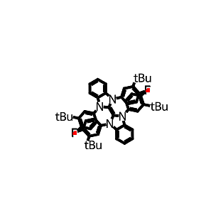 CC(C)(C)c1cc(N2C(=C3N(c4ccc(F)c(C(C)(C)C)c4)c4ccccc4N3c3ccc(F)c(C(C)(C)C)c3)N(c3ccc(F)c(C(C)(C)C)c3)c3ccccc32)ccc1F